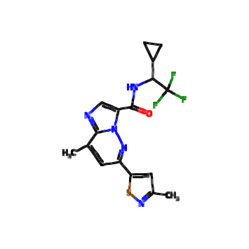 Cc1cc(-c2cc(C)c3ncc(C(=O)NC(C4CC4)C(F)(F)F)n3n2)sn1